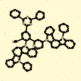 N#Cc1cc(-c2nc(-c3ccccc3)nc(-c3ccccc3)n2)cc(-c2cc(-n3c4ccccc4c4c3ccc3c5ccccc5n(-c5ccccc5)c34)ccn2)c1-n1c2ccccc2c2c1ccc1c3ccccc3n(-c3ccccc3)c12